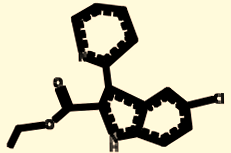 CCOC(=O)c1[nH]c2ccc(Cl)cc2c1-c1ccccn1